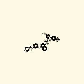 CCCCc1cc(NC(=O)Nc2ccc(Oc3ccnc(NC(=O)N4CCOCC4)c3)c3ccccc23)n(-c2ccc(S(C)(=O)=O)cc2)n1